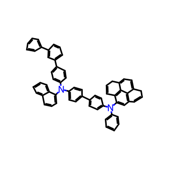 C1=Cc2cc(N(c3ccccc3)c3ccc(-c4ccc(N(c5ccc(-c6cccc(-c7ccccc7)c6)cc5)c5cccc6ccccc56)cc4)cc3)c3c4c(ccc(c24)C1)CC=C3